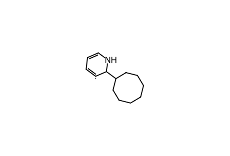 [C]1=CC=CNC1C1CCCCCCC1